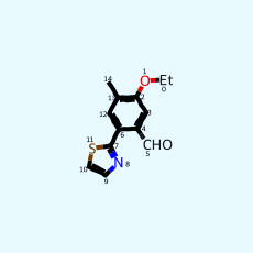 CCOc1cc(C=O)c(-c2nccs2)cc1C